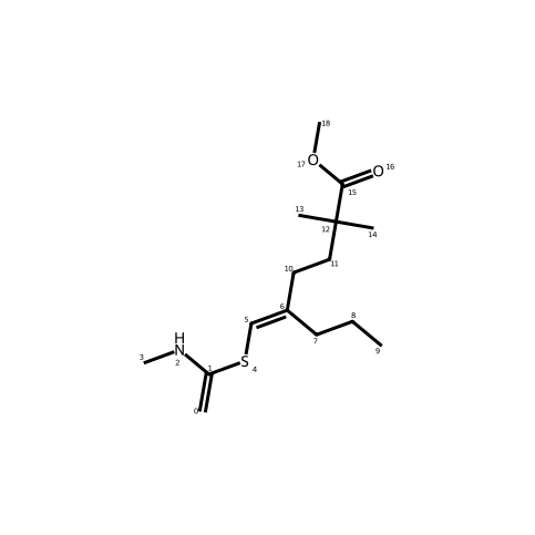 C=C(NC)S/C=C(\CCC)CCC(C)(C)C(=O)OC